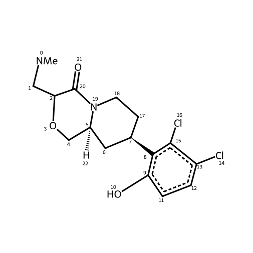 CNCC1OC[C@@H]2C[C@H](c3c(O)ccc(Cl)c3Cl)CCN2C1=O